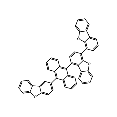 c1ccc2c(c1)oc1ccc(-c3c4ccccc4c(-c4ccc(-c5cccc6c5oc5ccccc56)c5oc6ccccc6c45)c4ccccc34)cc12